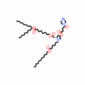 CCCCCCCCCCCOC(=O)CCCCCN1C[C@@H](OC(=O)CCC(=O)N2CCN(C)CC2)C[C@H]1CC(=O)OCCCCCCCC(=O)OC(CCCCCCCC)CCCCCCCC